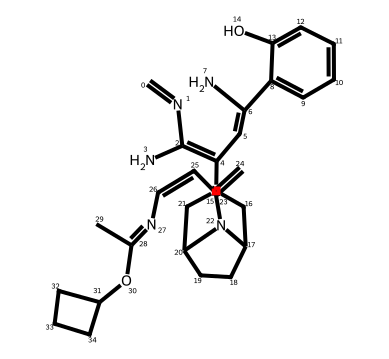 C=N/C(N)=C(\C=C(/N)c1ccccc1O)N1CC2CCC(C1)N2C(=C)/C=C\N=C(/C)OC1CCC1